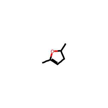 CC1=CCC(C)O1